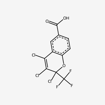 O=C(O)c1ccc2c(c1)C(Cl)=C(Cl)C(Cl)(C(F)(F)F)O2